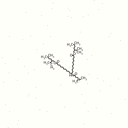 CCN(C)CCC(=O)NC(CCCCCCCCCC(=O)OCC(CCC(C)C)C(C)C)CCCCCCCCCC(=O)OCC(CCC(C)C)C(C)C